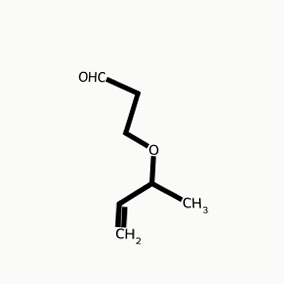 C=CC(C)OCCC=O